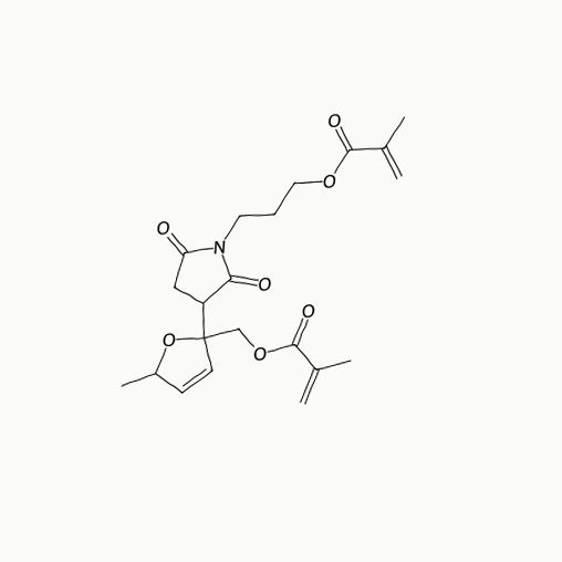 C=C(C)C(=O)OCCCN1C(=O)CC(C2(COC(=O)C(=C)C)C=CC(C)O2)C1=O